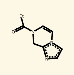 CCC(=O)N1C=Cn2ccnc2C1